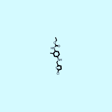 CCOC(=O)Nc1ccc(NCc2ccc(Cl)s2)cc1C